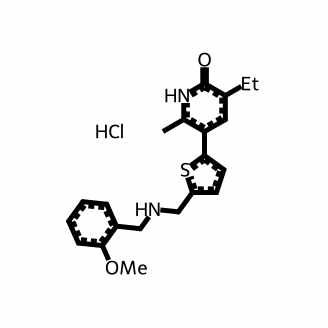 CCc1cc(-c2ccc(CNCc3ccccc3OC)s2)c(C)[nH]c1=O.Cl